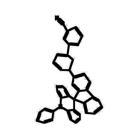 N#Cc1cccc(C2=CC=CC(c3ccc4c(c3)C3(c5ccccc5-4)c4ccccc4N(c4ccccc4)c4ccccc43)C2)c1